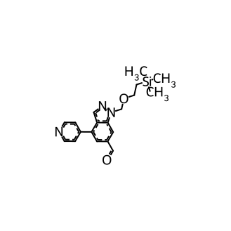 C[Si](C)(C)CCOCn1ncc2c(-c3ccncc3)cc(C=O)cc21